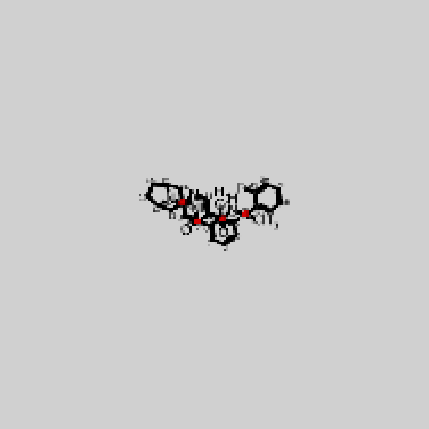 COc1cccc(C(=O)NC2CC3CCC(C2)N3c2ccc(C(=O)NCc3ccccc3F)cn2)c1C